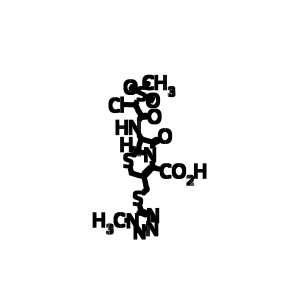 Cn1nnnc1SCC1=C(C(=O)O)N2C(=O)C(NC(=O)C(Cl)S(C)(=O)=O)[C@@H]2SC1